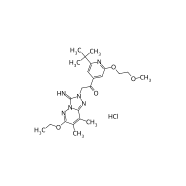 CCOc1nn2c(=N)n(CC(=O)c3cc(OCCOC)nc(C(C)(C)C)c3)nc2c(C)c1C.Cl